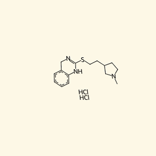 CN1CCC(CCSC2=NCc3ccccc3N2)C1.Cl.Cl